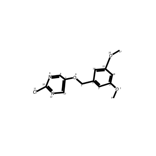 COc1cc(COc2cnc(Cl)nc2)cc(OC)c1